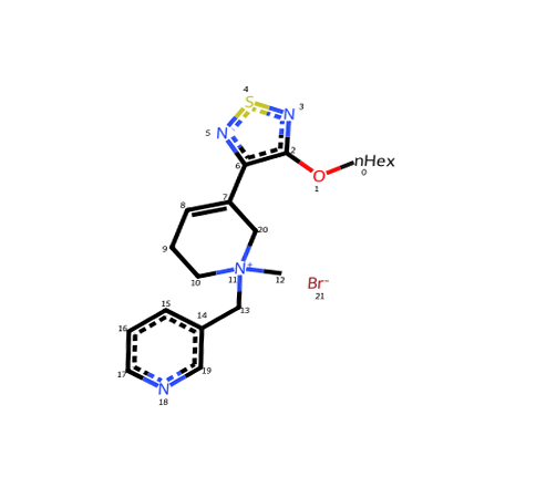 CCCCCCOc1nsnc1C1=CCC[N+](C)(Cc2cccnc2)C1.[Br-]